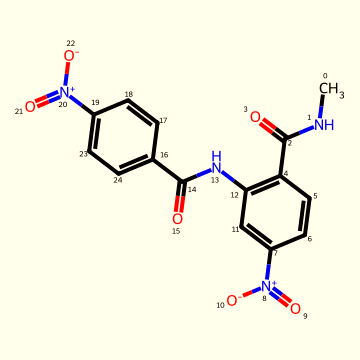 CNC(=O)c1ccc([N+](=O)[O-])cc1NC(=O)c1ccc([N+](=O)[O-])cc1